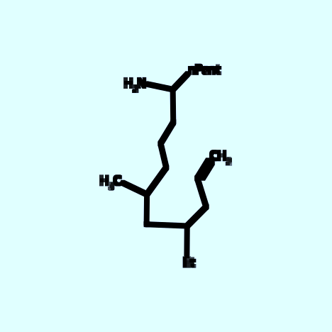 C=CCC(CC)CC(C)CCCC(N)CCCCC